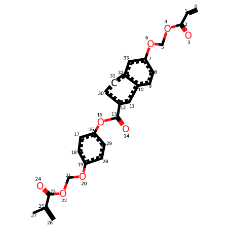 C=CC(=O)OCOc1ccc2cc(C(=O)Oc3ccc(OCOC(=O)C(=C)C)cc3)ccc2c1